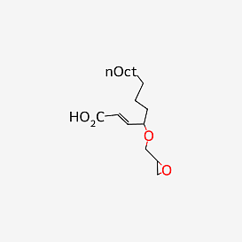 CCCCCCCCCCCC(C=CC(=O)O)OCC1CO1